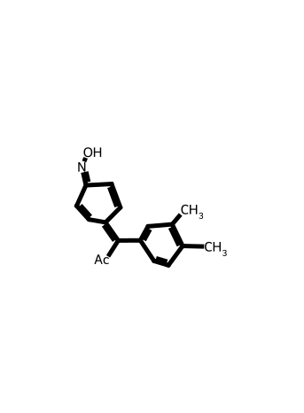 CC(=O)C(=C1C=CC(=NO)C=C1)c1ccc(C)c(C)c1